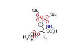 CCC(C)(C)OC(=O)OCC(C)C(c1ccc(OC(=O)OCC(C)(C)C)c(OC(=O)OCC(C)(C)C)c1)[C@H](N)C(=O)O